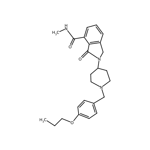 CCCOc1ccc(CN2CCC(N3Cc4cccc(C(=O)NC)c4C3=O)CC2)cc1